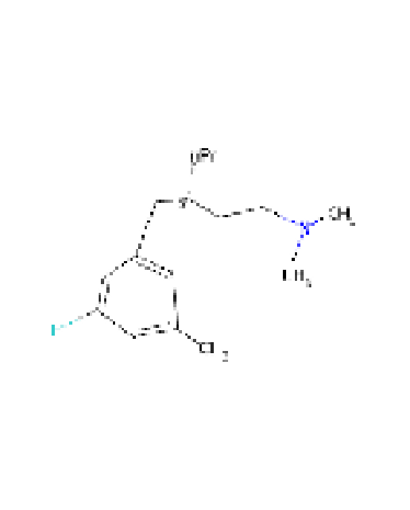 CCC[C@H](CCN(C)C)Cc1cc(C)cc(F)c1